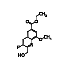 CCOC(=O)c1cc(OC)c2nc(CO)c(F)cc2c1